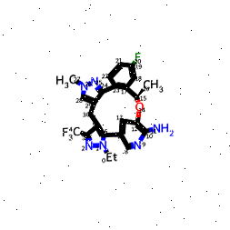 CCn1nc(C(F)(F)F)c2c1-c1cnc(N)c(c1)O[C@H](C)c1cc(F)ccc1-c1nn(C)cc1C2